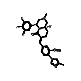 COc1cc(C=C2CC[C@@H]3CN(C)C[C@H](c4cc(F)c(F)c(F)c4)N3C2=O)ccc1-n1cnc(C)c1